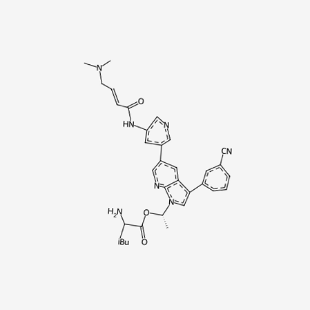 CCC(C)C(N)C(=O)O[C@@H](C)n1cc(-c2cccc(C#N)c2)c2cc(-c3cncc(NC(=O)/C=C/CN(C)C)c3)cnc21